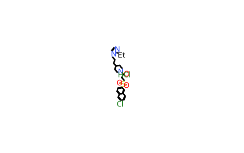 CCc1nccn1CCCC1CCN(C(=O)CCS(=O)(=O)c2ccc3cc(Cl)ccc3c2)CC1.Cl